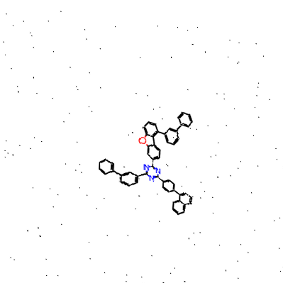 c1ccc(-c2cccc(-c3nc(-c4ccc(-c5cccc6ccccc56)cc4)nc(-c4ccc5c(c4)oc4cccc(-c6cccc(-c7ccccc7)c6)c45)n3)c2)cc1